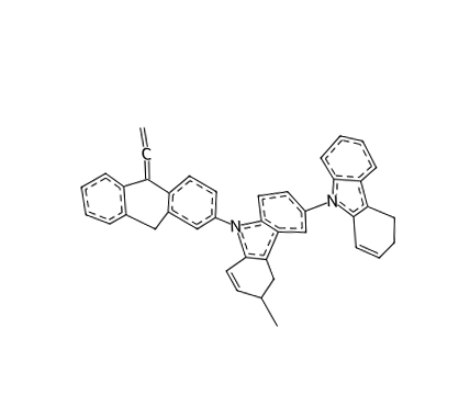 C=C=C1c2ccccc2Cc2cc(-n3c4c(c5cc(-n6c7c(c8ccccc86)CCC=C7)ccc53)CC(C)C=C4)ccc21